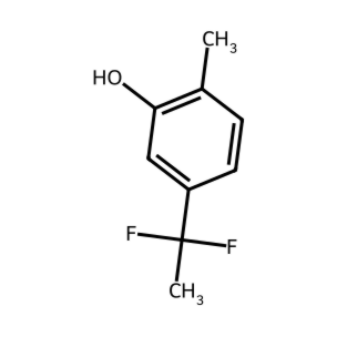 Cc1ccc(C(C)(F)F)cc1O